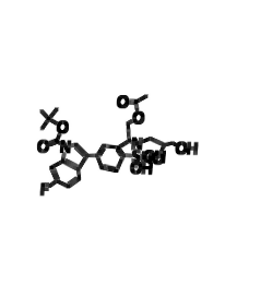 CC(=O)OCC1c2cc(-c3cn(C(=O)OC(C)(C)C)c4cc(F)ccc34)ccc2S(O)(O)N1CC(O)CO